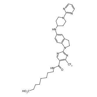 O=C(O)CCCCCCCNC(=O)c1cnc(N2CCc3cc(NC4CCN(c5ncccn5)CC4)ccc32)nc1C(F)(F)F